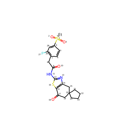 CCS(=O)(=O)c1ccc(CC(=O)Nc2nc3c(s2)C(=O)CC2(CCCC2)C3)c(F)c1